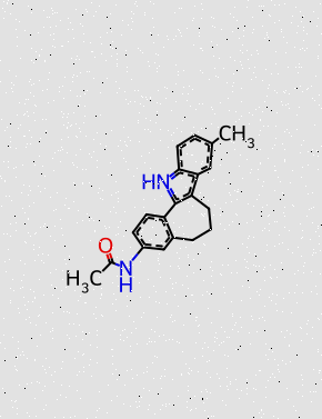 CC(=O)Nc1ccc2c(c1)CCCc1c-2[nH]c2ccc(C)cc12